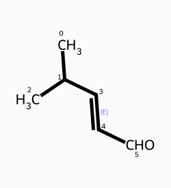 CC(C)/C=C/C=O